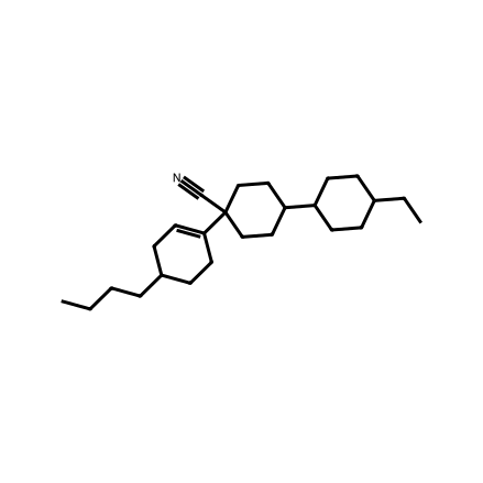 CCCCC1CC=C(C2(C#N)CCC(C3CCC(CC)CC3)CC2)CC1